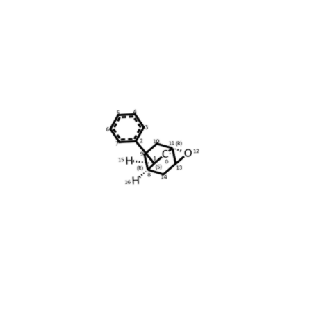 [CH]1[C@H](c2ccccc2)[C@@H]2CC[C@]13OC3C2